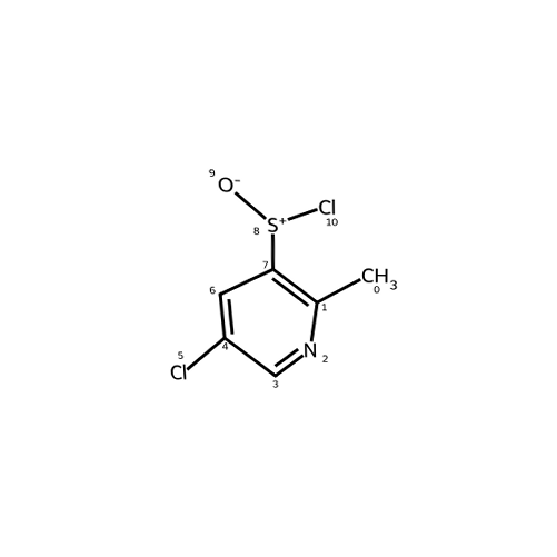 Cc1ncc(Cl)cc1[S+]([O-])Cl